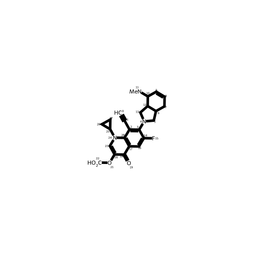 C#Cc1c(N2CC3CC=CC(NC)C3C2)c(F)cc2c(=O)c(OC(=O)O)cn(C3CC3)c12